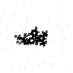 CNC(=O)C1(C)CCC2(CC[N+](C(N)=O)([C@H](C)c3cc(C(F)(F)F)cc(C(F)(F)F)c3)C(c3ccc(F)cc3C)C2)N1